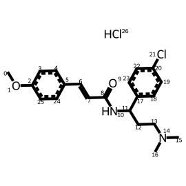 COc1ccc(C=CC(=O)NC(CCN(C)C)c2ccc(Cl)cc2)cc1.Cl